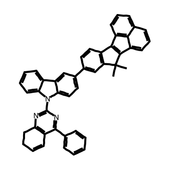 CC1(C)C2=C(c3ccc(-c4ccc5c(c4)c4ccccc4n5-c4nc5c(c(-c6ccccc6)n4)C=CCC5)cc31)c1cccc3cccc2c13